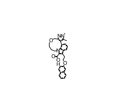 Cc1c2c(nn1C)COCCCCn1c(C(=O)O)c(CCOc3ccc4ccccc4c3)c3cccc-2c31